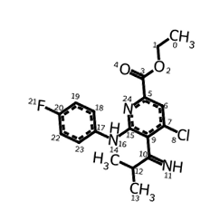 CCOC(=O)c1cc(Cl)c(C(=N)C(C)C)c(Nc2ccc(F)cc2)n1